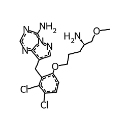 COC[C@H](N)CCCOc1ccc(Cl)c(Cl)c1Cc1cnn2c(N)ncnc12